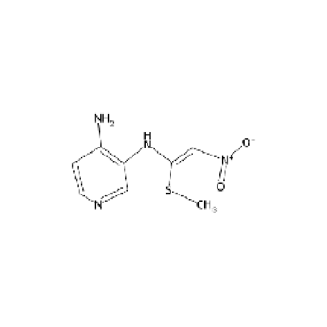 CS/C(=C\[N+](=O)[O-])Nc1cnccc1N